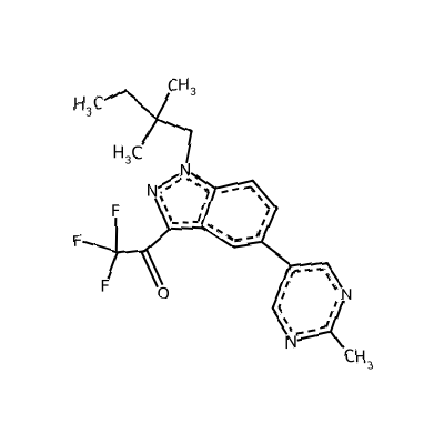 CCC(C)(C)Cn1nc(C(=O)C(F)(F)F)c2cc(-c3cnc(C)nc3)ccc21